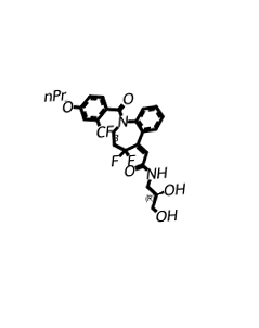 CCCOc1ccc(C(=O)N2CCC(F)(F)C(=CC(=O)NC[C@@H](O)CO)c3ccccc32)c(C(F)(F)F)c1